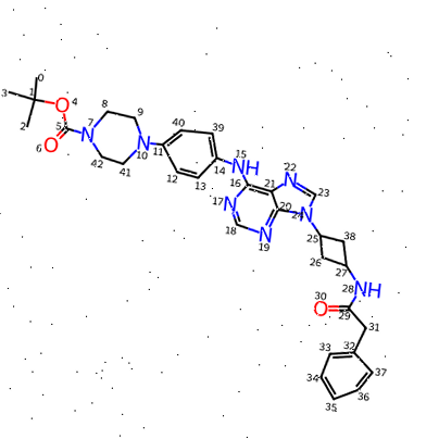 CC(C)(C)OC(=O)N1CCN(c2ccc(Nc3ncnc4c3ncn4C3CC(NC(=O)Cc4ccccc4)C3)cc2)CC1